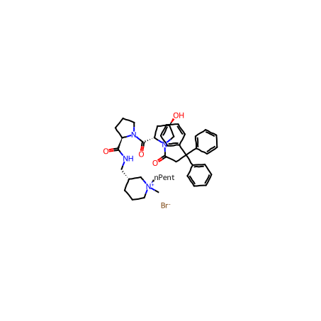 CCCCC[N@@+]1(C)CCC[C@H](CNC(=O)[C@H]2CCCN2C(=O)[C@@H]2C[C@@H](O)CN2C(=O)CC(c2ccccc2)(c2ccccc2)c2ccccc2)C1.[Br-]